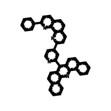 c1ccc(-c2ccc3ccc4ccc(-c5ccnc(-c6c7ccc8ccccc8c7nc7c6ccc6ccccc67)c5)nc4c3n2)cc1